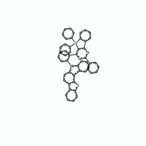 c1ccc(-c2nc(-c3ccccc3-n3c4ccccc4c4c5sc6ccccc6c5ccc43)c3c(n2)-c2ccccc2[Si]3(c2ccccc2)c2ccccc2)cc1